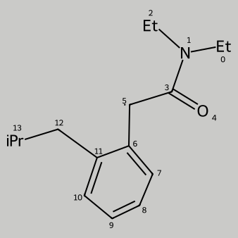 CCN(CC)C(=O)[CH]c1ccccc1CC(C)C